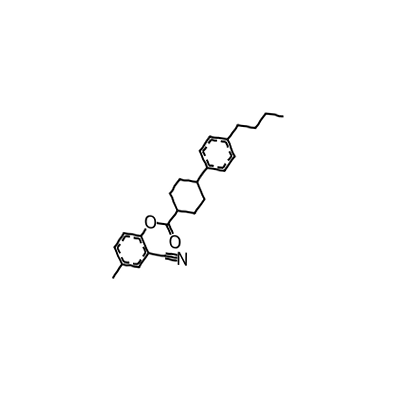 CCCCc1ccc(C2CCC(C(=O)Oc3ccc(C)cc3C#N)CC2)cc1